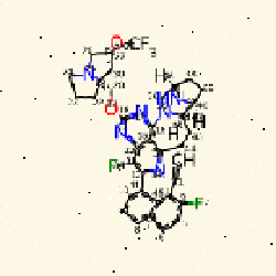 C#Cc1c(F)ccc2cccc(-c3nc4c5c(nc(OC[C@]67CCCN6C[C@@H](OC(F)(F)F)C7)nc5c3F)N3C[C@H]5CC[C@H](N5)[C@H]3CC4)c12